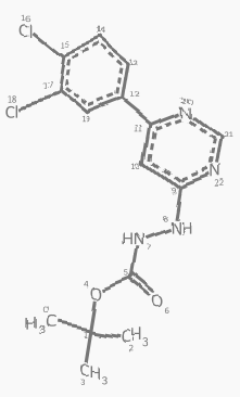 CC(C)(C)OC(=O)NNc1cc(-c2ccc(Cl)c(Cl)c2)ncn1